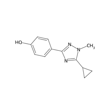 Cn1nc(-c2ccc(O)cc2)nc1C1CC1